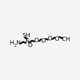 C#CCOCCOCCOCCOCCC(=O)N(CCS)CCCN